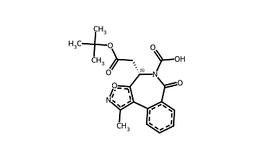 Cc1noc2c1-c1ccccc1C(=O)N(C(=O)O)[C@H]2CC(=O)OC(C)(C)C